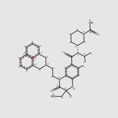 Cc1cc2c(cc1C(=O)N(C(C)C)[C@@H]1CCCN(C(=O)O)C1)N(CCN(Cc1ccccc1)Cc1ccccc1)C(=O)C(C)(CO)O2